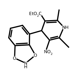 CCOC(=O)C1=C(C)NC(C)=C([N+](=O)[O-])C1c1cccc2c1ONO2